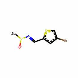 CC(C)(C)[S+]([O-])N=Cc1cc(Br)cs1